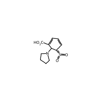 O=C(O)C1=CC=CC(=S(=O)=O)C1N1CCCC1